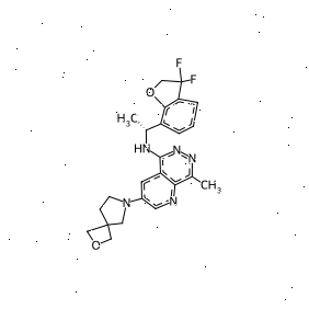 Cc1nnc(N[C@H](C)c2cccc3c2OCC3(F)F)c2cc(N3CCC4(COC4)C3)cnc12